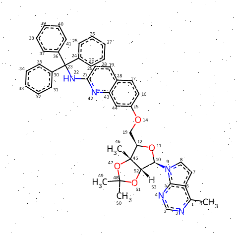 Cc1ncnc2c1ccn2[C@@H]1O[C@H](COc2ccc3ccc(NC(c4ccccc4)(c4ccccc4)c4ccccc4)nc3c2)[C@@]2(C)OC(C)(C)O[C@@H]12